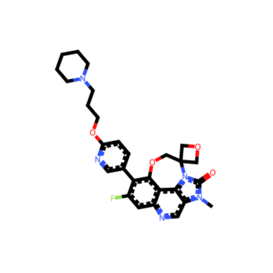 Cn1c(=O)n2c3c4c(c(-c5ccc(OCCCN6CCCCC6)nc5)c(F)cc4ncc31)OCC21COC1